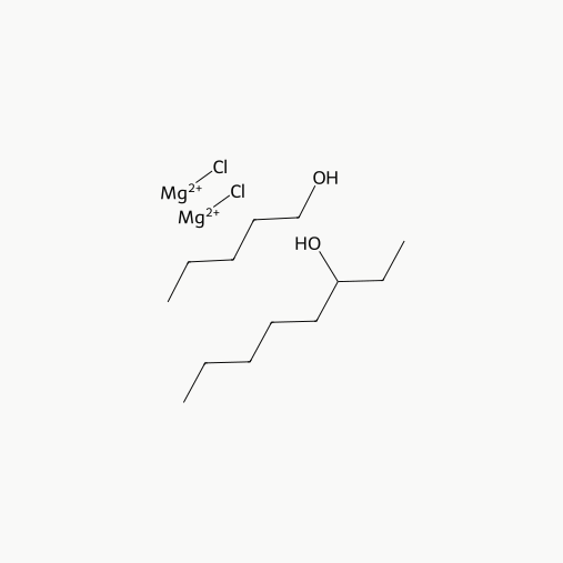 CCCCCC(O)CC.CCCCCO.[Mg+2][Cl].[Mg+2][Cl]